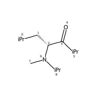 CC(C)C[C@H](C(=O)C(C)C)N(C)C(C)C